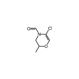 CC1CN(C=O)C(Cl)=CO1